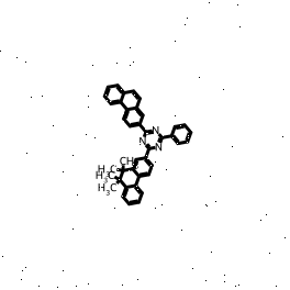 CC1(C)c2ccccc2-c2ccc(-c3nc(-c4ccccc4)nc(-c4ccc5c(ccc6ccccc65)c4)n3)cc2C1(C)C